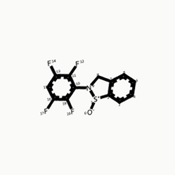 [O-][S+]1c2ccccc2CN1c1c(F)c(F)cc(F)c1F